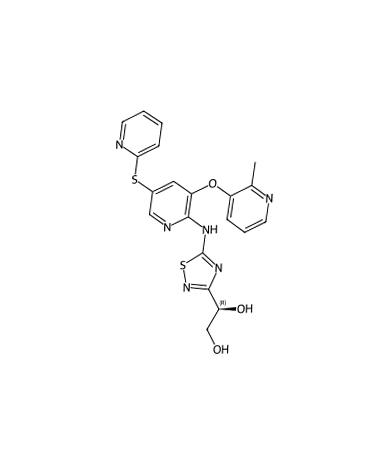 Cc1ncccc1Oc1cc(Sc2ccccn2)cnc1Nc1nc([C@@H](O)CO)ns1